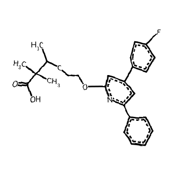 CC(CCCOc1cc(-c2ccc(F)cc2)cc(-c2ccccc2)n1)C(C)(C)C(=O)O